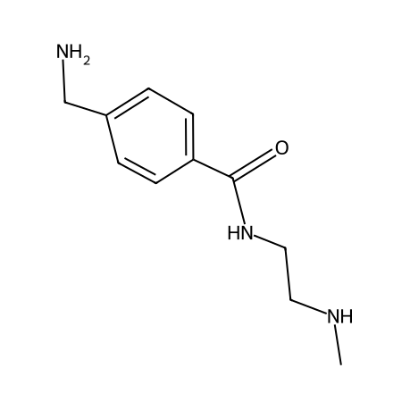 CNCCNC(=O)c1ccc(CN)cc1